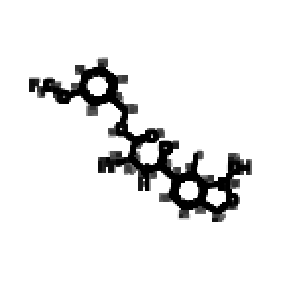 Cc1c(C(=O)N[C@H](C(=O)OCc2cccc(OC(F)(F)F)c2)C(C)C)ccc2c1B(O)OC2